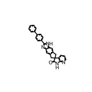 O=C1Nc2ncccc2C12Cc1cc3nc(-c4ccc(-c5ccccc5)cc4)[nH]c3cc1C2